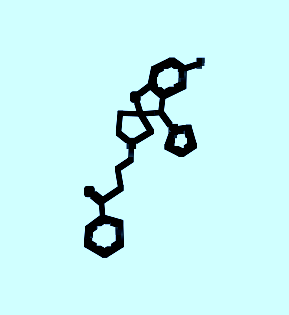 O=C(CCCN1CCC2(C1)Oc1ccc(F)cc1C2n1cccc1)c1ccccc1